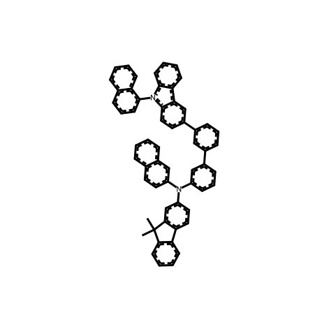 CC1(C)c2ccccc2-c2ccc(N(c3cccc(-c4cccc(-c5ccc6c(c5)c5ccccc5n6-c5cccc6ccccc56)c4)c3)c3ccc4ccccc4c3)cc21